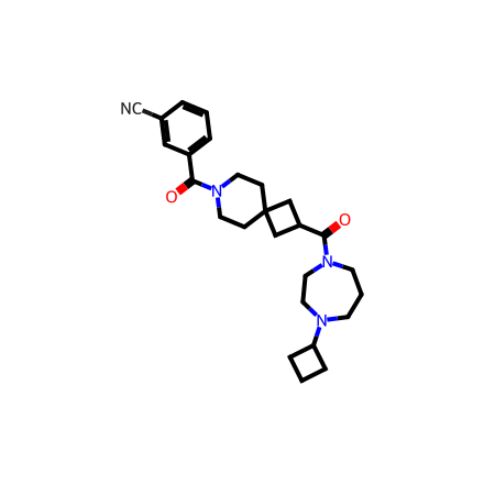 N#Cc1cccc(C(=O)N2CCC3(CC2)CC(C(=O)N2CCCN(C4CCC4)CC2)C3)c1